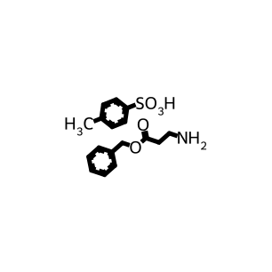 Cc1ccc(S(=O)(=O)O)cc1.NCCC(=O)OCc1ccccc1